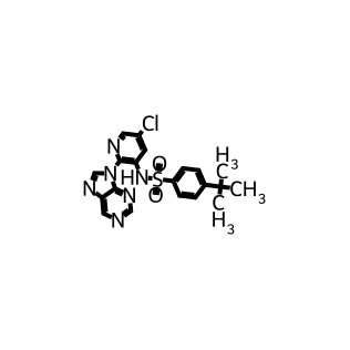 CC(C)(C)c1ccc(S(=O)(=O)Nc2cc(Cl)cnc2-n2cnc3cncnc32)cc1